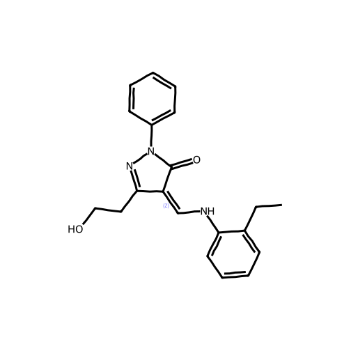 CCc1ccccc1N/C=C1\C(=O)N(c2ccccc2)N=C1CCO